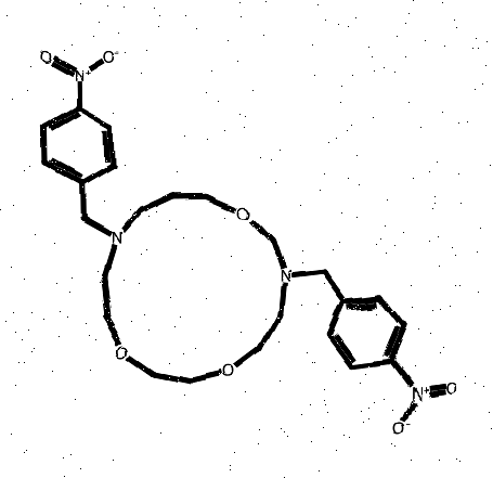 O=[N+]([O-])c1ccc(CN2CCCOCN(Cc3ccc([N+](=O)[O-])cc3)CCOCCOCC2)cc1